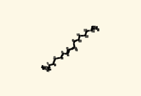 [CH2]CCCCCC=CCCCCCCC=C